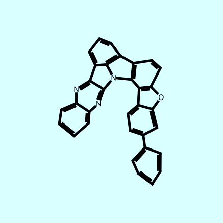 c1ccc(-c2ccc3c(c2)oc2ccc4c5cccc6c7nc8ccccc8nc7n(c56)c4c23)cc1